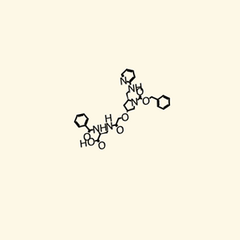 O=C(CO[C@@H]1C[C@@H](CNc2ccccn2)N(C(=O)OCc2ccccc2)C1)NC[C@H](NC(=O)c1ccccc1)C(=O)O